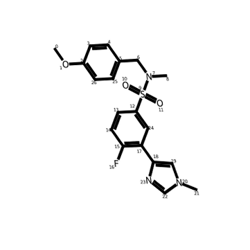 COc1ccc(CN(C)S(=O)(=O)c2ccc(F)c(-c3cn(C)cn3)c2)cc1